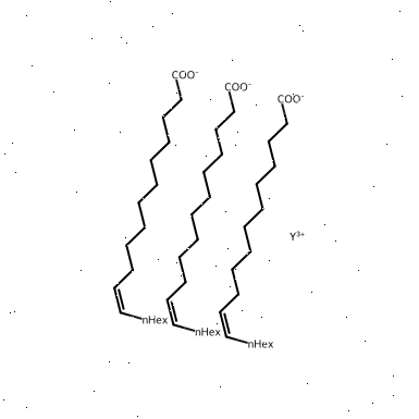 CCCCCC/C=C\CCCCCCCCCC(=O)[O-].CCCCCC/C=C\CCCCCCCCCC(=O)[O-].CCCCCC/C=C\CCCCCCCCCC(=O)[O-].[Y+3]